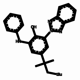 CC(C)(C)CC(C)(C)c1cc(Nc2ccccc2)c(O)c(-n2nc3ccccc3n2)c1